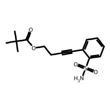 CC(C)(C)C(=O)OCCC#Cc1ccccc1S(N)(=O)=O